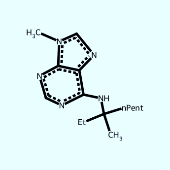 CCCCCC(C)(CC)Nc1ncnc2c1ncn2C